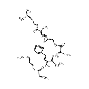 C=C(C)C(=O)OCC1CO1.C=C(C)C(=O)OCCN(C)C.C=C(C=Cc1ccccc1)C(=O)OC.C=CC(=O)OCCCC